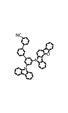 N#Cc1cccc(-c2cccc(-c3cc(-n4c5ccccc5c5ccccc54)cc(-n4c5ccccc5c5c6oc7ccccc7c6ccc54)c3)c2)c1